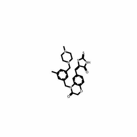 Cc1cc(CN2CCN(C)CC2)cc(CN2C(=O)COc3ccc(C=C4SC(=S)NC4=O)cc32)c1